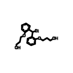 CCC(c1ccccc1OCCCO)c1ccccc1OCCCO